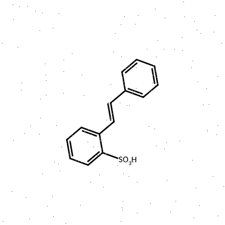 O=S(=O)(O)c1ccccc1C=[C]c1ccccc1